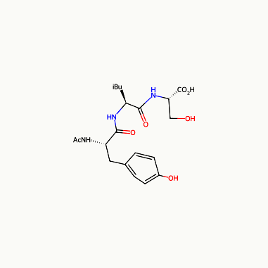 CCC(C)[C@H](NC(=O)[C@H](Cc1ccc(O)cc1)NC(C)=O)C(=O)N[C@@H](CO)C(=O)O